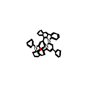 c1ccc(-c2cc(-c3ccccc3)nc(-n3c4ccccc4c4cc5ccccc5c(-c5ccc6c7ccccc7n(-c7ccccc7)c6c5)c43)c2)cc1